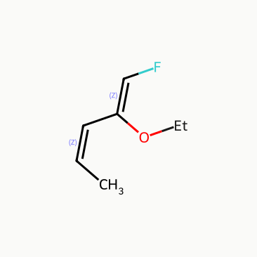 C/C=C\C(=C\F)OCC